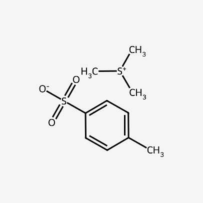 C[S+](C)C.Cc1ccc(S(=O)(=O)[O-])cc1